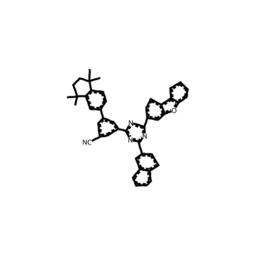 CC1(C)CCC(C)(C)c2cc(-c3cc(C#N)cc(-c4nc(-c5ccc6ccccc6c5)nc(-c5ccc6c(c5)oc5ccccc56)n4)c3)ccc21